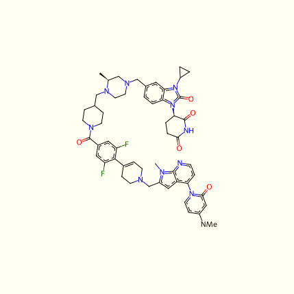 CNc1ccn(-c2ccnc3c2cc(CN2CC=C(c4c(F)cc(C(=O)N5CCC(CN6CCN(Cc7ccc8c(c7)n(C7CC7)c(=O)n8[C@@H]7CCC(=O)NC7=O)C[C@@H]6C)CC5)cc4F)CC2)n3C)c(=O)c1